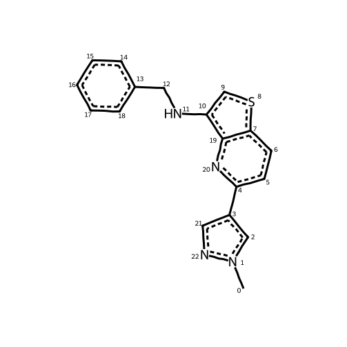 Cn1cc(-c2ccc3scc(NCc4ccccc4)c3n2)cn1